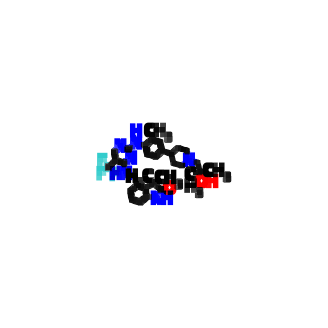 Cc1cc(C2CCN(CC(C)(C)O)CC2)ccc1Nc1ncc(C(F)(F)F)c(NCc2cccc3c2C(C)(C)C(=O)N3)n1